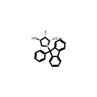 O=C(O)[C@H]1[C@@H](F)[C@H](O)CN1C1(c2ccccc2)c2ccccc2-c2ccccc21